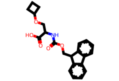 O=C(NC(COC1CCC1)C(=O)O)OCC1c2ccccc2-c2ccccc21